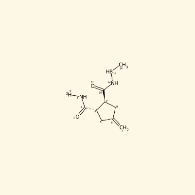 [2H]NC(=O)[C@H]1CC(=C)C[C@@H]1C(=O)NBC